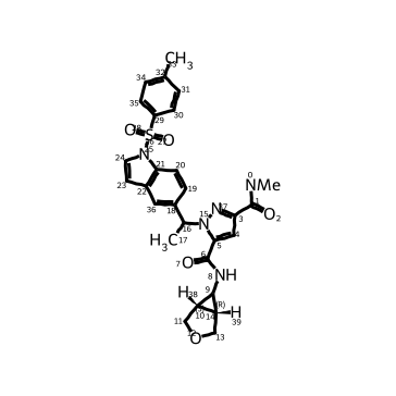 CNC(=O)c1cc(C(=O)NC2[C@H]3COC[C@@H]23)n(C(C)c2ccc3c(ccn3S(=O)(=O)c3ccc(C)cc3)c2)n1